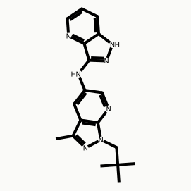 Cc1nn(CC(C)(C)C)c2ncc(Nc3n[nH]c4cccnc34)cc12